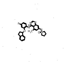 Cc1cc(N=S2(=O)CCCC2)cc2ncnc(Nc3ccc(F)cc3OC3CCc4ccccc43)c12